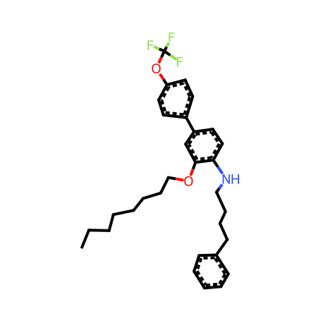 CCCCCCCCOc1cc(-c2ccc(OC(F)(F)F)cc2)ccc1NCCCCc1ccccc1